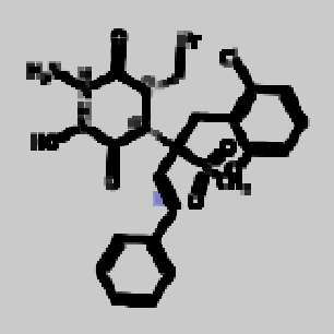 CC(C)C[C@@H](C(=O)NN)[C@@H](C(=O)NO)C(/C=C/c1ccccc1)(Cc1c(Cl)cccc1Cl)S(C)(=O)=O